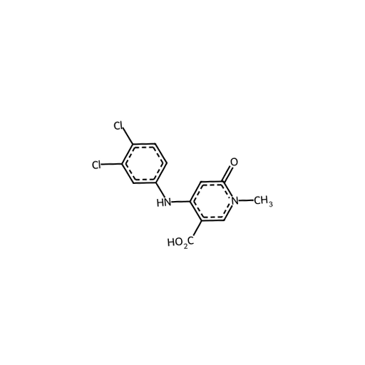 Cn1cc(C(=O)O)c(Nc2ccc(Cl)c(Cl)c2)cc1=O